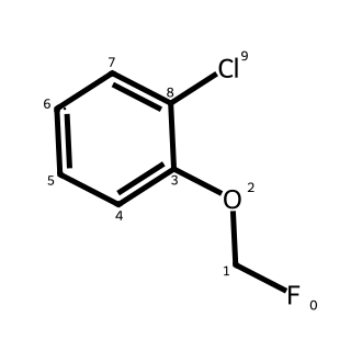 FCOc1cc[c]cc1Cl